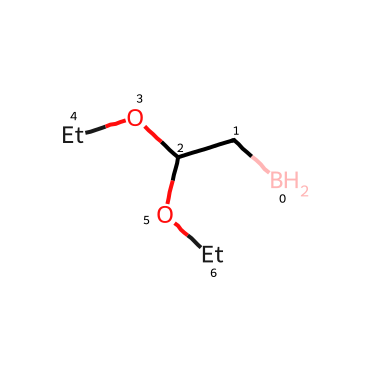 BCC(OCC)OCC